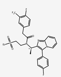 CCS(=O)(=O)CCN(C(=O)Cc1ccc(F)c(C(F)(F)F)c1)[C@H](C)c1nc2ccccn2c1-c1ccc(F)cc1